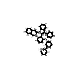 C1=CNC(c2cccc(N3c4ccccc4-c4c(n(-c5cc6ccccc6cn5)c5ccccc45)-c4ccccc43)c2)C=C1